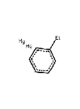 CCc1cc[c]cc1.[Hg].[Hg]